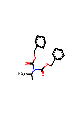 CC(C(=O)O)N(C(=O)OCc1ccccc1)C(=O)OCc1ccccc1